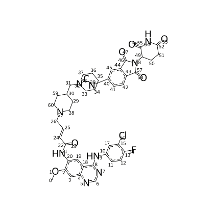 COc1cc2ncnc(Nc3ccc(F)c(Cl)c3)c2cc1NC(=O)/C=C/CN1CCC(CN2CC3CCC2CN3c2ccc3c(c2)C(=O)N(C2CCC(=O)NC2=O)C3=O)CC1